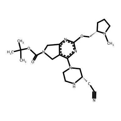 CN1CCC[C@H]1COc1nc2c(c(N3CCN[C@@H](CC#N)C3)n1)CN(C(=O)OC(C)(C)C)C2